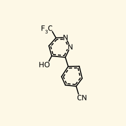 N#Cc1ccc(-c2nnc(C(F)(F)F)cc2O)cc1